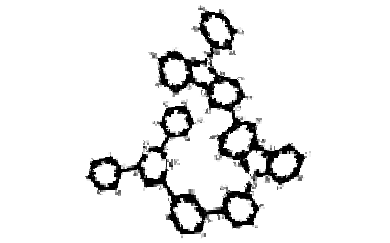 c1ccc(-c2cc(-c3cccc(-c4cccc(-n5c6ccccc6c6cc(-c7ccc8c(c7)c7ccccc7n8-c7ccccc7)ccc65)c4)c3)nc(-c3ccccc3)n2)cc1